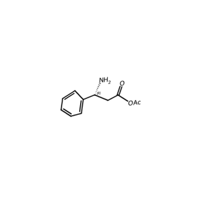 CC(=O)OC(=O)C[C@@H](N)c1ccccc1